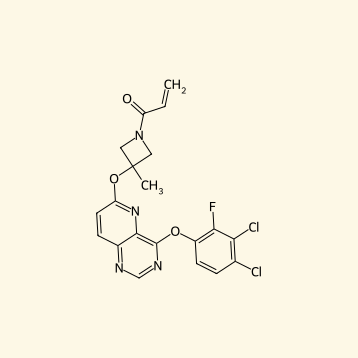 C=CC(=O)N1CC(C)(Oc2ccc3ncnc(Oc4ccc(Cl)c(Cl)c4F)c3n2)C1